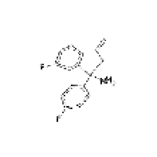 C=CCC(N)(c1ccc(F)cc1)c1cccc(F)c1